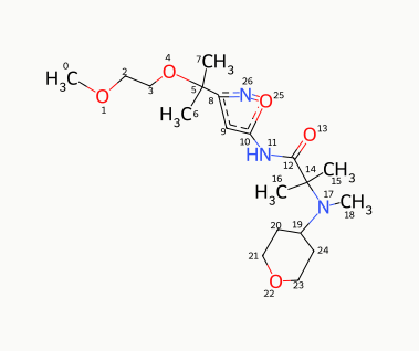 COCCOC(C)(C)c1cc(NC(=O)C(C)(C)N(C)C2CCOCC2)on1